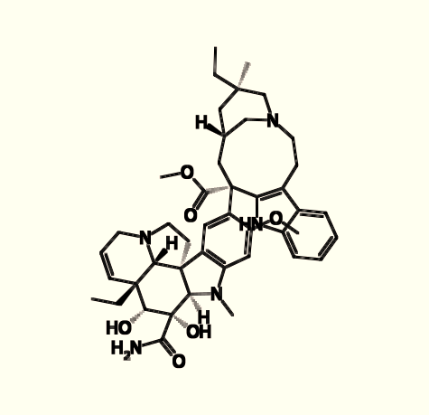 CC[C@]1(C)C[C@@H]2CN(CCc3c([nH]c4ccccc34)[C@@](C(=O)OC)(c3cc4c(cc3OC)N(C)[C@H]3[C@@](O)(C(N)=O)[C@H](O)[C@]5(CC)C=CCN6CC[C@]43[C@@H]65)C2)C1